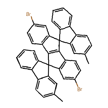 Cc1ccc2c(c1)C1(C3=C(c4ccc(Br)cc41)C1(c4cc(Br)ccc43)c3ccccc3-c3ccc(C)cc31)c1ccccc1-2